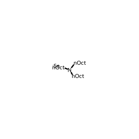 CCCCCCCCN(CCCCCCCC)CCCCCCCC.[Se]